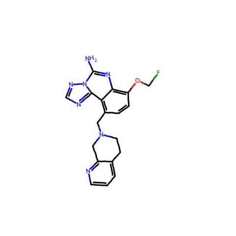 Nc1nc2c(OCF)ccc(CN3CCc4cccnc4C3)c2c2ncnn12